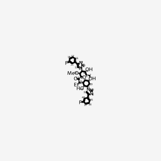 CCN(C(=O)[C@@H]1O[C@H](CO)[C@H](O)[C@H](n2cc(-c3cccc(F)c3)nn2)[C@H]1OC)[C@@H]1CCC[C@H](n2cc(-c3cccc(F)c3)nn2)[C@H]1O